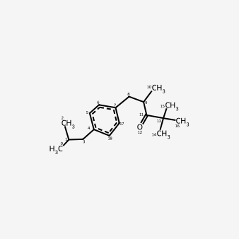 CC(C)Cc1ccc(CC(C)C(=O)C(C)(C)C)cc1